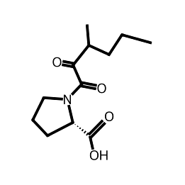 CCCC(C)C(=O)C(=O)N1CCC[C@H]1C(=O)O